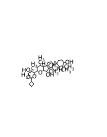 C[C@@H]1CC(C(OC(=O)C2CCC2)C(C)(C)O)OC2[C@H]1C1(C)CCC34CC35CCC(O)C(C)(C)[C@@H]5CCC4[C@]1(C)[C@H]2O